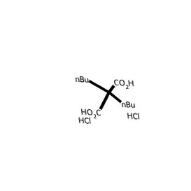 CCCCC(CCCC)(C(=O)O)C(=O)O.Cl.Cl